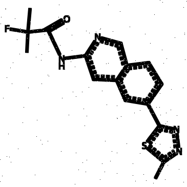 Cc1nnc(-c2ccc3cnc(NC(=O)C(C)(C)F)cc3c2)s1